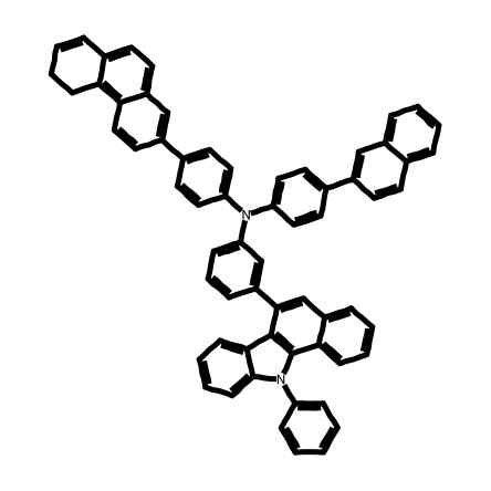 C1=Cc2ccc3cc(-c4ccc(N(c5ccc(-c6ccc7ccccc7c6)cc5)c5cccc(-c6cc7ccccc7c7c6c6ccccc6n7-c6ccccc6)c5)cc4)ccc3c2CC1